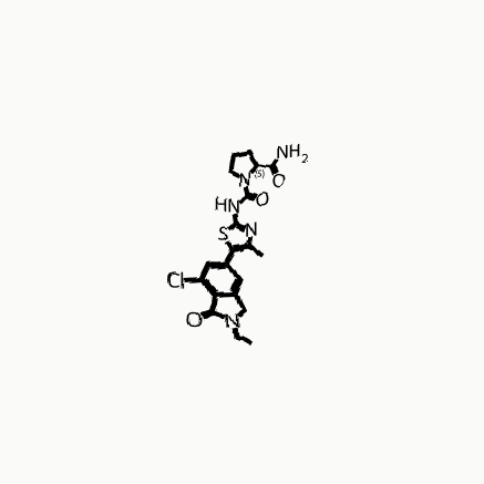 CCN1Cc2cc(-c3sc(NC(=O)N4CCC[C@H]4C(N)=O)nc3C)cc(Cl)c2C1=O